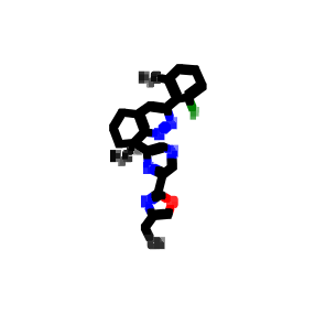 Cc1cccc(F)c1-c1cc2c(nn1)[C@@](C)(c1cncc(-c3nc(CC#N)co3)n1)CCC2